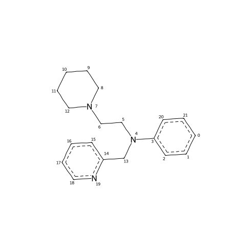 c1ccc(N(CCN2CCCCC2)Cc2ccccn2)cc1